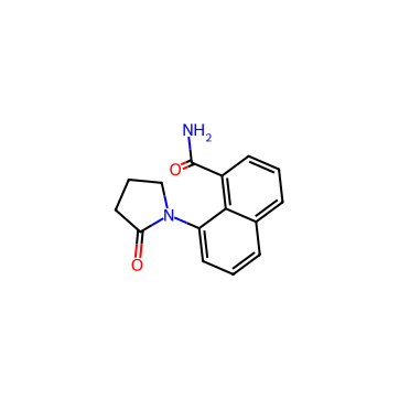 NC(=O)c1cccc2cccc(N3CCCC3=O)c12